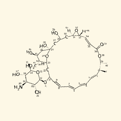 C[C@H]1/C=C/C=C/C=C/C=C/C(O[C@@H]2O[C@H](C)[C@@H](O)[C@H](N)[C@H]2O)C[C@@H]2O[C@](O)(CC(O)C[C@H]3O[C@@H]3/C=C/C(=O)O[C@@H]1C)C[C@H](O)[C@H]2C(=O)O